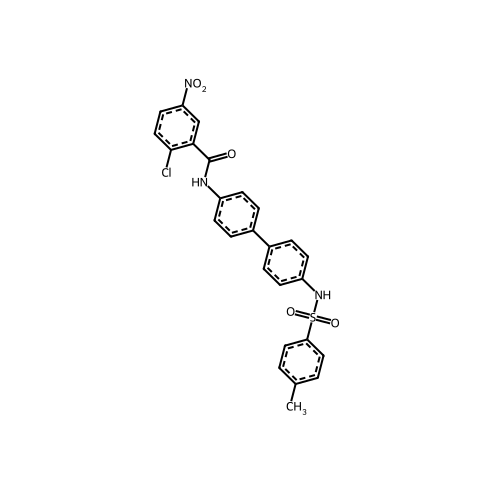 Cc1ccc(S(=O)(=O)Nc2ccc(-c3ccc(NC(=O)c4cc([N+](=O)[O-])ccc4Cl)cc3)cc2)cc1